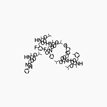 CC(C)COC(=O)[C@H](C)NC(=O)Cc1cc(F)ccc1F.CC(C)COC(=O)[C@H](C)NC(=O)Cc1coc(-c2ccccc2)n1.CC(C)COC(=O)[C@H](C)NC(=O)Cc1nc(-c2ccccc2)ns1.COc1ccc2cc(CC(=O)N[C@@H](C)C(=O)OCC(C)C)sc2c1.Cc1cccc(CC(=O)N[C@@H](C)C(=O)OCC(C)C)c1